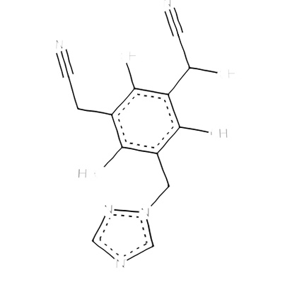 Cc1c(CC#N)c(C)c(C(C)C#N)c(C)c1Cn1cncn1